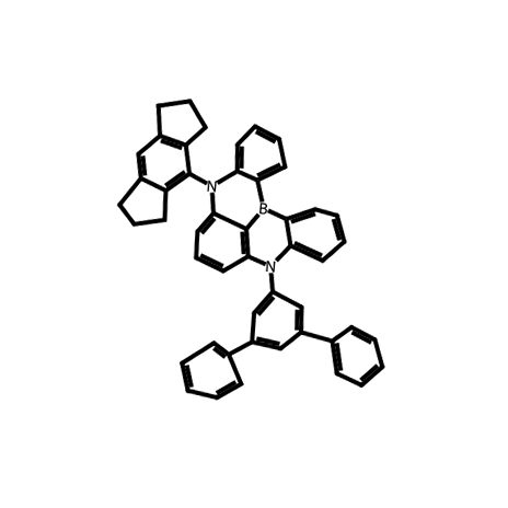 c1ccc(-c2cc(-c3ccccc3)cc(N3c4ccccc4B4c5ccccc5N(c5c6c(cc7c5CCC7)CCC6)c5cccc3c54)c2)cc1